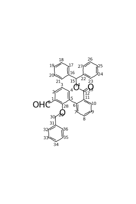 O=Cc1cccc(-c2ccccc2C(=O)OC(c2ccccc2)c2ccccc2)c1OCc1ccccc1